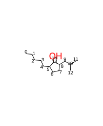 CCCCCC1CCC(CC(C)C)C1O